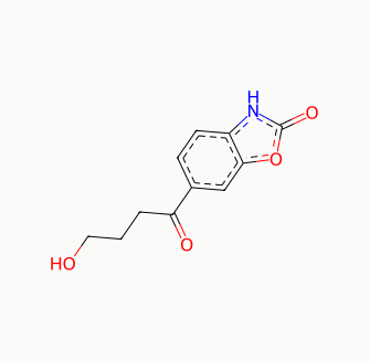 O=C(CCCO)c1ccc2[nH]c(=O)oc2c1